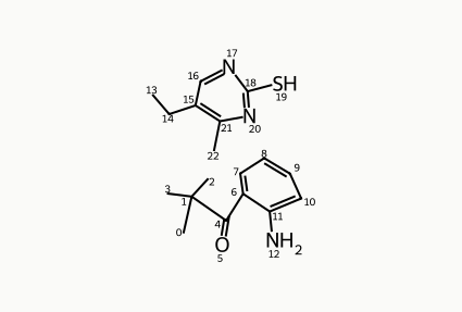 CC(C)(C)C(=O)c1ccccc1N.CCc1cnc(S)nc1C